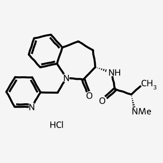 CN[C@@H](C)C(=O)N[C@H]1CCc2ccccc2N(Cc2ccccn2)C1=O.Cl